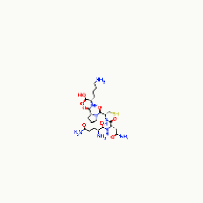 NCCCC[C@H](NC(=O)[C@@H]1CCCN1C(=O)[C@H](CS)NC(=O)[C@H](CC(N)=O)NC(=O)[C@@H](N)CCC(N)=O)C(=O)O